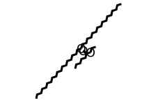 CCCCCC(=O)OCC.CCCCCCCCCCCCCCCCCCOCCCCCCCCCCCCCCCC